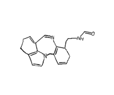 O=CNCC1CC=CC2=C1N=CC1=CCCc3ccn2c31